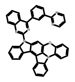 c1cnc(-c2cccc(-c3nc(-n4c5ccccc5c5c6c7ccccc7n7c6c(cc54)Oc4ccccc4-7)nc4ccccc34)c2)nc1